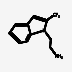 NCCn1c(C(F)(F)F)cc2ccccc21